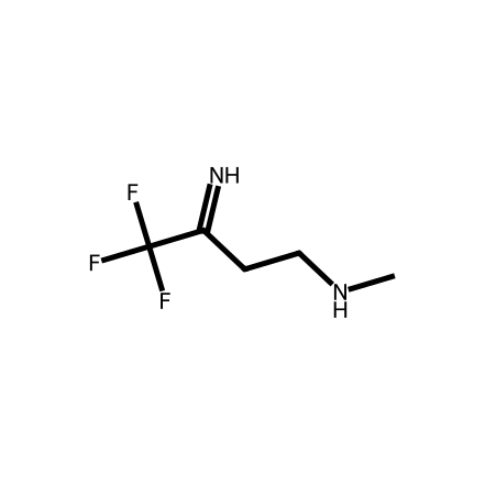 CNCCC(=N)C(F)(F)F